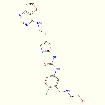 O=C(Nc1ccc(F)c(CNCCO)c1)Nc1ncc(CCNc2ncnc3ccsc23)s1